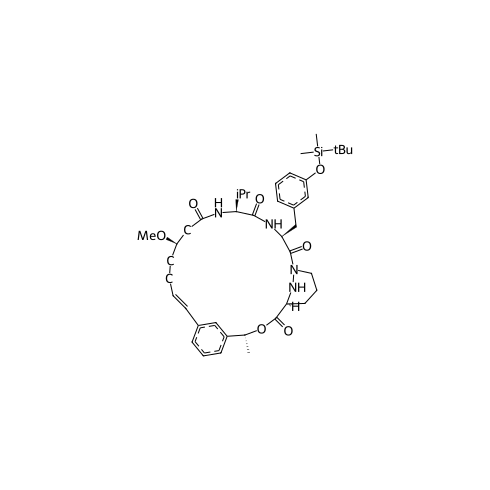 CO[C@@H]1CC/C=C/c2cccc(c2)[C@@H](C)OC(=O)[C@@H]2CCCN(N2)C(=O)[C@H](Cc2cccc(O[Si](C)(C)C(C)(C)C)c2)NC(=O)[C@H](C(C)C)NC(=O)C1